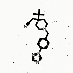 CC(C)(C)C1(CC#N)CCN(Cc2ccc(-n3cncn3)cc2)CC1